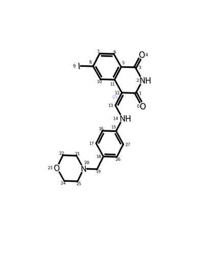 O=C1NC(=O)c2ccc(I)cc2/C1=C/Nc1ccc(CN2CCOCC2)cc1